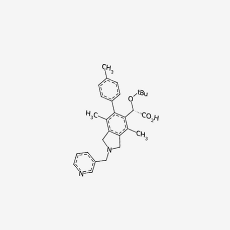 Cc1ccc(-c2c(C)c3c(c(C)c2[C@H](OC(C)(C)C)C(=O)O)CN(Cc2cccnc2)C3)cc1